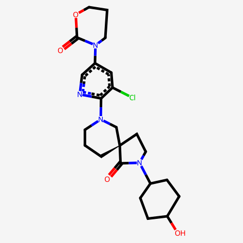 O=C1OCCCN1c1cnc(N2CCC[C@]3(CCN(C4CCC(O)CC4)C3=O)C2)c(Cl)c1